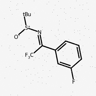 CC(C)(C)[S+]([O-])/N=C(/c1cccc(F)c1)C(F)(F)F